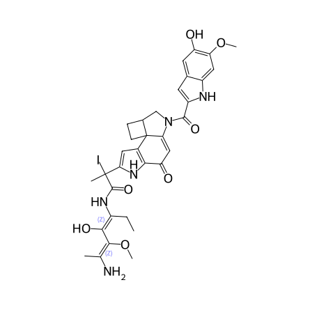 CC/C(NC(=O)C(C)(I)c1cc2c([nH]1)C(=O)C=C1N(C(=O)c3cc4cc(O)c(OC)cc4[nH]3)CC3CCC123)=C(O)\C(OC)=C(/C)N